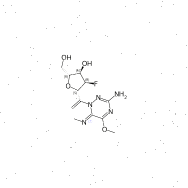 C=C([C@@H]1O[C@H](CO)[C@@H](O)[C@H]1F)n1nc(N)nc(OC)/c1=N/C